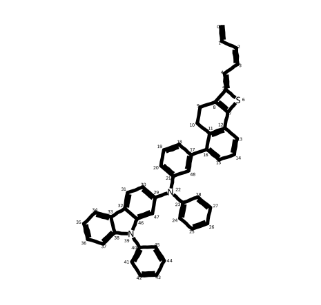 C=C/C=C\C=C1/SC2=C1CCc1c2cccc1-c1cccc(N(c2ccccc2)c2ccc3c4ccccc4n(-c4ccccc4)c3c2)c1